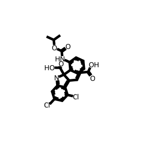 CC(C)OC(=O)Nc1ccccc1C1(C(=O)O)N=c2cc(Cl)cc(Cl)c2=C1C=CC(=O)O